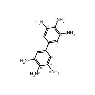 Nc1cc(-c2cc(N)c(N)c(N)c2)cc(N)c1N